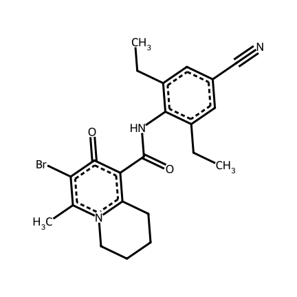 CCc1cc(C#N)cc(CC)c1NC(=O)c1c2n(c(C)c(Br)c1=O)CCCC2